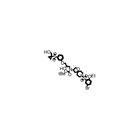 CCOc1ccc(Br)cc1S(=O)(=O)N1CCC2(CC1)C[C@H](N(C[C@H](O)COc1cccc(S(=O)(=O)C3(CO)CC3)c1)C(=O)OC(C)(C)C)CO2